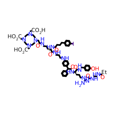 CCC(=O)NCCNC(=O)/N=C(/N)NCCC[C@@H](NC(=O)C(c1ccccc1)c1ccc(NCCCNC(=O)[C@@H](CCCNC(=O)CN2CCN(CC(=O)O)CCN(CC(=O)O)CCN(CC(=O)O)CC2)NC(=O)CCCc2ccc(I)cc2)cc1)C(=O)NCc1ccc(O)cc1